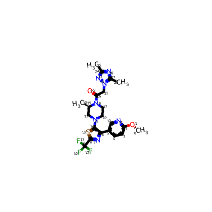 COc1ccc(-c2nc(C(F)(F)F)sc2N2CCN(C(=O)Cn3nc(C)nc3C)[C@H](C)C2)cn1